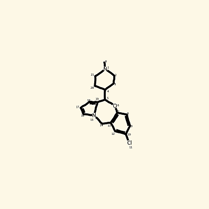 CN1CCC(C2Oc3ccc(Cl)cc3Cn3cccc32)CC1